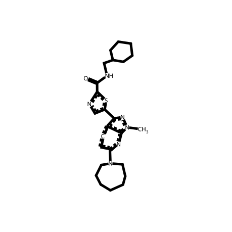 Cn1nc(-c2cnc(C(=O)NCC3CCCCC3)s2)c2ccc(N3CCCCCCC3)nc21